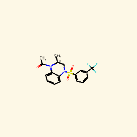 CC(=O)N1c2ccccc2N(S(=O)(=O)c2cccc(C(F)(F)F)c2)C[C@@H]1C